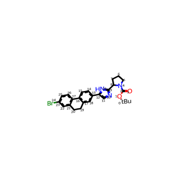 CC(C)(C)OC(=O)N1CCCC1c1ncc(-c2ccc3c(c2)CCc2cc(Br)ccc2-3)[nH]1